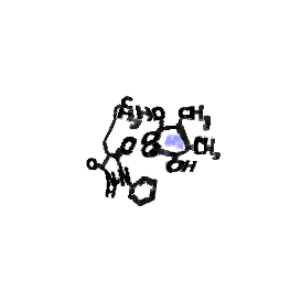 C/C(C(=O)O)=C(\C)C(=O)O.CCCCC1C(=O)NN(c2ccccc2)C1=O